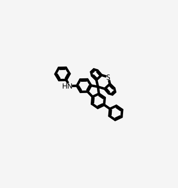 c1ccc(Nc2ccc3c(c2)-c2ccc(-c4ccccc4)cc2C32c3ccccc3Sc3ccccc32)cc1